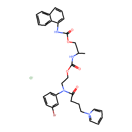 CC(COC(=O)Nc1cccc2ccccc12)NC(=O)OCCN(C(=O)CCC[n+]1ccccc1)c1cccc(Br)c1.[Cl-]